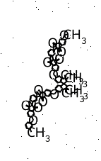 COc1ccc2c(c1)C(=O)N(c1cccc(N3C(=O)c4ccc(Oc5ccc6c(c5)C(C)(C)CC65CC(C)(C)c6cc(Oc7ccc8c(c7)C(=O)N(c7cccc(N9C(=O)c%10ccc(Oc%11cccc(C)c%11)cc%10C9=O)c7)C8=O)ccc65)cc4C3=O)c1)C2=O